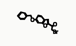 O=C(CBr)c1cc2ccc(OCc3ccccc3)cc2o1